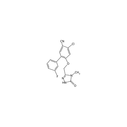 Cn1c(COc2cc(Cl)c(C#N)cc2-c2cccc(F)c2)n[nH]c1=O